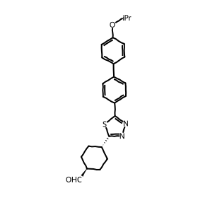 CC(C)Oc1ccc(-c2ccc(-c3nnc([C@H]4CC[C@H](C=O)CC4)s3)cc2)cc1